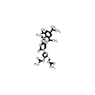 CC(=O)OC[C@H]1O[C@@H](n2ccc(OS(=O)(=O)c3c(C(C)C)cc(C(C)C)cc3C(C)C)nc2=O)C[C@@H]1OC(C)=O